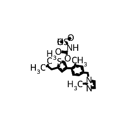 Cc1cc(Cn2ccnc2C)ccc1-c1cc(CC(C)C)sc1OC(=O)N[SH](=O)=O